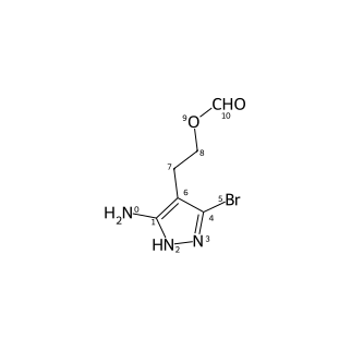 Nc1[nH]nc(Br)c1CCOC=O